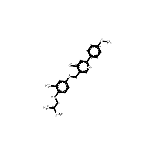 Cc1cc(OCc2cnc(-c3ccc(OC(F)(F)F)cc3)cc2Cl)ccc1OCC(C)C(=O)O